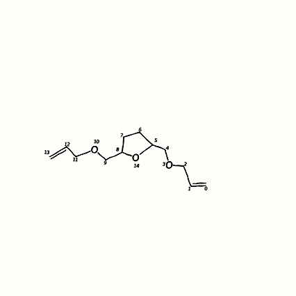 C=CCOCC1CCC(COCC=C)O1